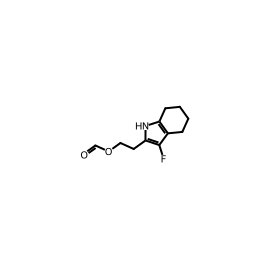 O=COCCc1[nH]c2c(c1F)CCCC2